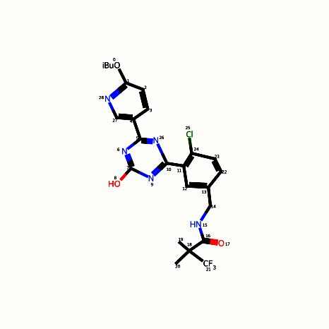 CC(C)COc1ccc(-c2nc(O)nc(-c3cc(CNC(=O)C(C)(C)C(F)(F)F)ccc3Cl)n2)cn1